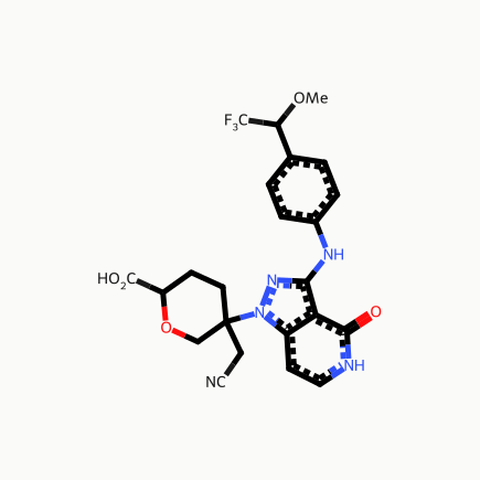 COC(c1ccc(Nc2nn(C3(CC#N)CCC(C(=O)O)OC3)c3cc[nH]c(=O)c23)cc1)C(F)(F)F